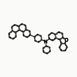 c1ccc(N(c2ccc(-c3ccc4c(ccc5ccc6ccccc6c54)c3)cc2)c2ccc3ccc4oc5ccccc5c4c3c2)cc1